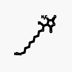 CCCCCCCCCCCCCCCCCCOC(CC)C1C(=O)OC(=O)C1C